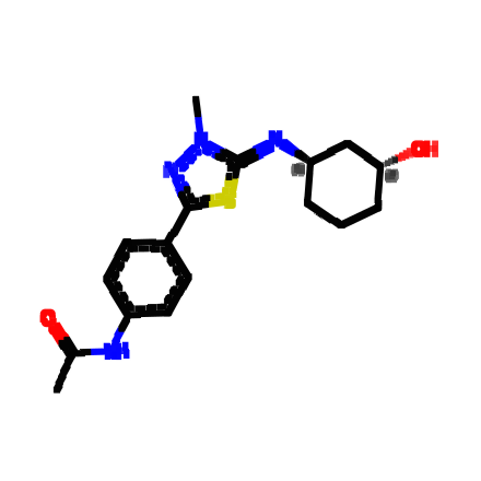 CC(=O)Nc1ccc(-c2nn(C)c(=N[C@@H]3CCC[C@@H](O)C3)s2)cc1